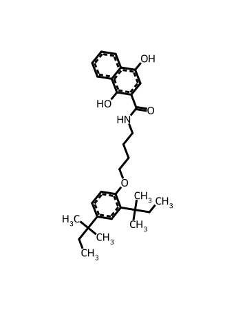 CCC(C)(C)c1ccc(OCCCCNC(=O)c2cc(O)c3ccccc3c2O)c(C(C)(C)CC)c1